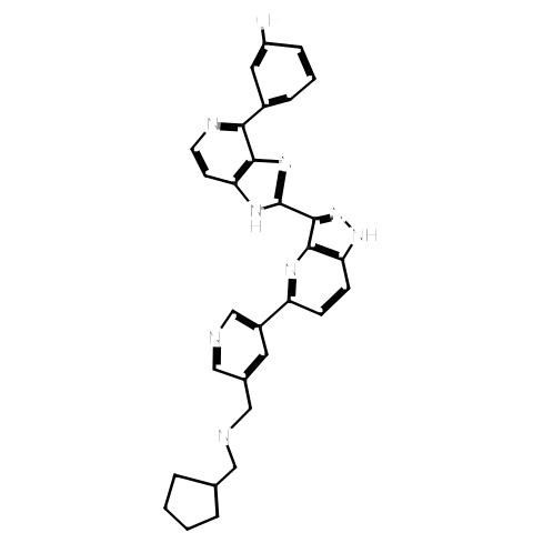 Cc1cccc(-c2nccc3[nH]c(-c4n[nH]c5ccc(-c6cncc(CNCC7CCCC7)c6)nc45)nc23)c1